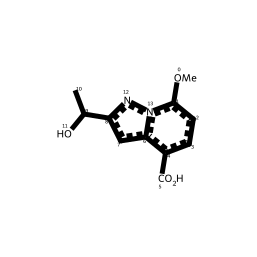 COc1ccc(C(=O)O)c2cc(C(C)O)nn12